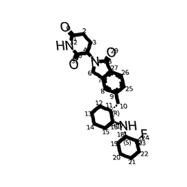 O=C1CCC(N2Cc3cc(C[C@H]4CCCC[C@@H]4N[C@H]4CCCC[C@H]4F)ccc3C2=O)C(=O)N1